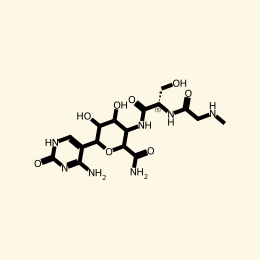 CNCC(=O)N[C@@H](CO)C(=O)NC1C(C(N)=O)OC(c2c[nH]c(=O)nc2N)C(O)C1O